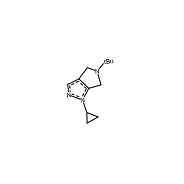 CC(C)(C)N1Cc2cnn(C3CC3)c2C1